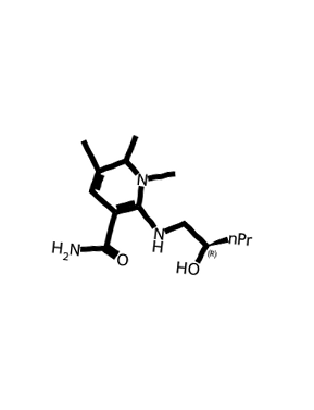 CCC[C@@H](O)CNC1=C(C(N)=O)C=C(C)C(C)N1C